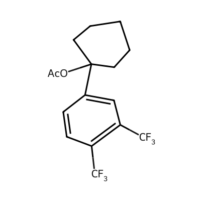 CC(=O)OC1(c2ccc(C(F)(F)F)c(C(F)(F)F)c2)CCCCC1